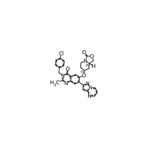 Cc1nc2cc(-c3cc4ncccn4n3)c(O[C@H]3CCN4C(=O)OC[C@@H]4C3)cc2c(=O)n1Cc1ccc(Cl)cc1